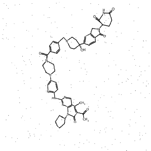 CC(=O)c1c(C)c2cnc(Nc3ccc(N4CCN(C(=O)c5ccc(CN6CCC(O)(c7ccc8c(c7)CN(C7CCC(=O)NC7=O)C8=O)CC6)cc5)CC4)cn3)nc2n(C2CCCC2)c1=O